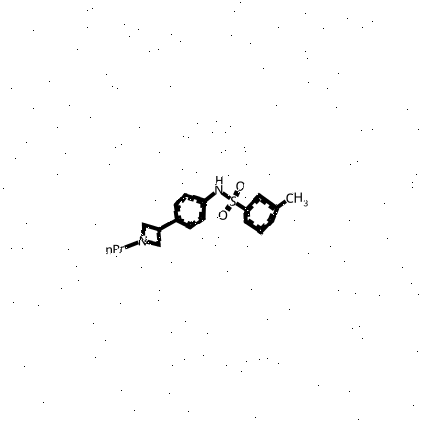 CCCN1CC(c2ccc(NS(=O)(=O)c3cccc(C)c3)cc2)C1